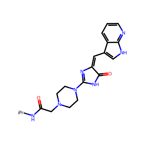 CC(C)NC(=O)CN1CCN(C2=NC(=Cc3c[nH]c4ncccc34)C(=O)N2)CC1